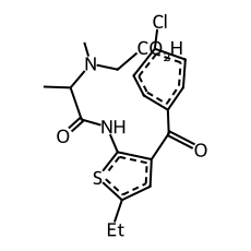 CCc1cc(C(=O)c2ccc(Cl)cc2)c(NC(=O)C(C)N(C)CC(=O)O)s1